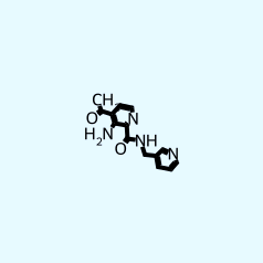 CC(=O)c1ccnc(C(=O)NCc2cccnc2)c1N